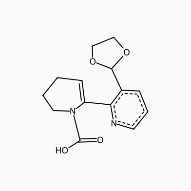 O=C(O)N1CCCC=C1c1ncccc1C1OCCO1